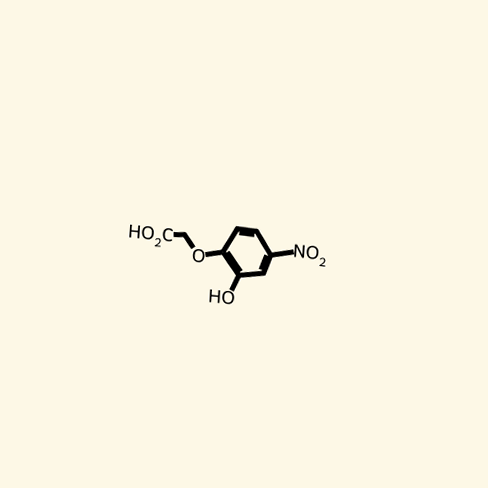 O=C(O)COc1ccc([N+](=O)[O-])cc1O